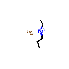 Br.CCCNCC